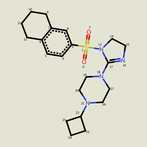 O=S(=O)(c1ccc2c(c1)CCCC2)N1CCN=C1N1CCN(C2CCC2)CC1